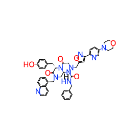 O=C1[C@H](Cc2ccc(O)cc2)N2C(=O)CN(Cc3cc(-c4ccc(N5CCOCC5)cn4)no3)N(C(=O)NCc3ccccc3)[C@H]2CN1Cc1cccc2ncccc12